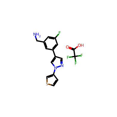 NCc1cc(F)cc(-c2cnn(-c3ccsc3)c2)c1.O=C(O)C(F)(F)F